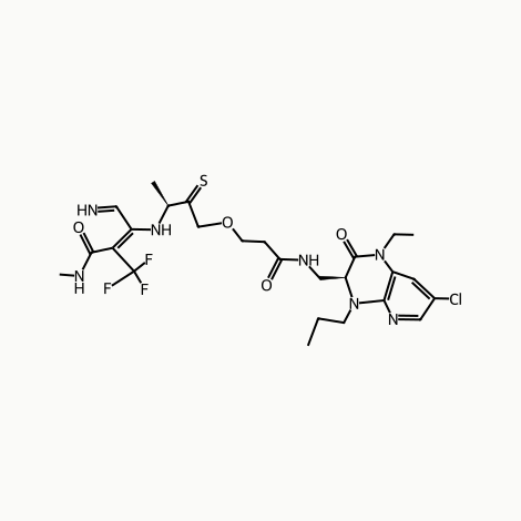 CCCN1c2ncc(Cl)cc2N(CC)C(=O)[C@@H]1CNC(=O)CCOCC(=S)[C@H](C)N/C(C=N)=C(/C(=O)NC)C(F)(F)F